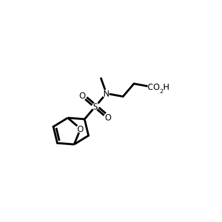 CN(CCC(=O)O)S(=O)(=O)C1CC2C=CC1O2